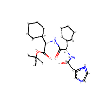 CC(C)(C)OC(=O)[C@@H](NC(=O)[C@@H](NC(=O)c1cnccn1)C1CCCCC1)C1CCCCC1